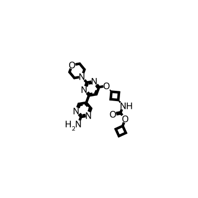 Nc1ncc(-c2cc(O[C@H]3C[C@H](NC(=O)OC4CCC4)C3)nc(N3CCOCC3)n2)cn1